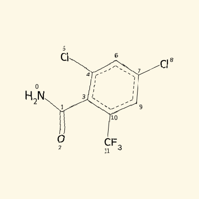 NC(=O)c1c(Cl)cc(Cl)cc1C(F)(F)F